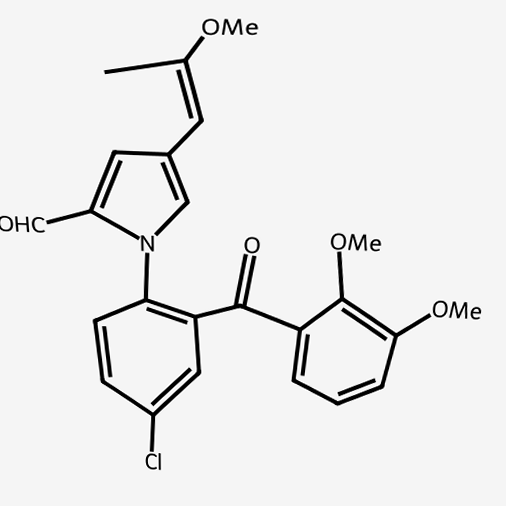 CO/C(C)=C/c1cc(C=O)n(-c2ccc(Cl)cc2C(=O)c2cccc(OC)c2OC)c1